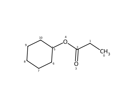 CCC(=O)O[C]1CCCCC1